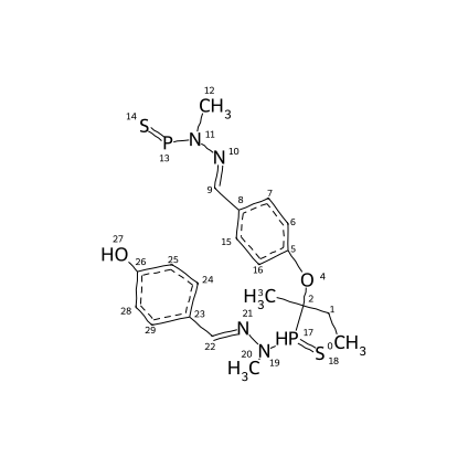 CCC(C)(Oc1ccc(C=NN(C)P=S)cc1)[PH](=S)N(C)N=Cc1ccc(O)cc1